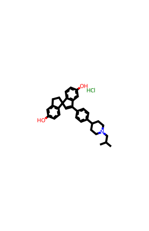 CC(C)CN1CCC(c2ccc(C3=CC4(CCc5cc(O)ccc54)c4ccc(O)cc43)cc2)CC1.Cl